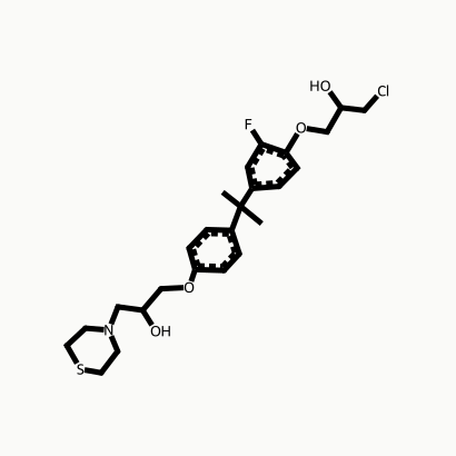 CC(C)(c1ccc(OCC(O)CN2CCSCC2)cc1)c1ccc(OCC(O)CCl)c(F)c1